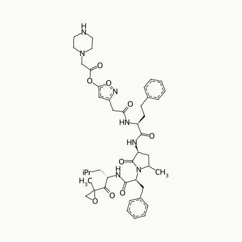 CC(C)C[C@H](NC(=O)[C@H](Cc1ccccc1)N1C(=O)[C@@H](NC(=O)[C@H](CCc2ccccc2)NC(=O)Cc2cc(OC(=O)CN3CCNCC3)on2)CC1C)C(=O)C1(C)CO1